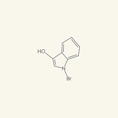 Oc1cn(Br)c2ccccc12